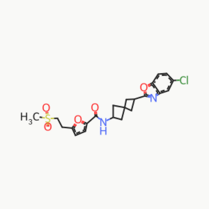 CS(=O)(=O)CCc1ccc(C(=O)NC2CC3(C2)CC(c2nc4cc(Cl)ccc4o2)C3)o1